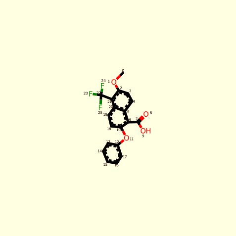 COc1ccc2c(C(=O)O)c(Oc3ccccc3)ccc2c1C(F)(F)F